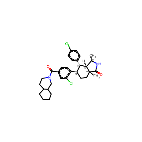 C[C@H]1NC(=O)[C@]2(C)CC[C@@H](c3ccc(C(=O)N4CCC5CCCCC5C4)cc3Cl)[C@H](c3ccc(Cl)cc3)[C@H]12